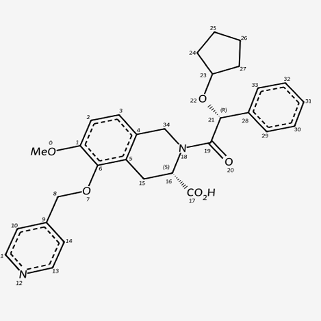 COc1ccc2c(c1OCc1ccncc1)C[C@@H](C(=O)O)N(C(=O)[C@H](OC1CCCC1)c1ccccc1)C2